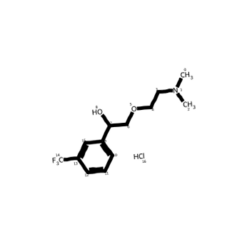 CN(C)CCOCC(O)c1cccc(C(F)(F)F)c1.Cl